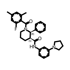 Cc1cc(C)c(C(=O)N2CCC[C@H](C(=O)Nc3cccc(N4CCCC4)c3)[C@@H]2c2ccccc2)c(F)c1